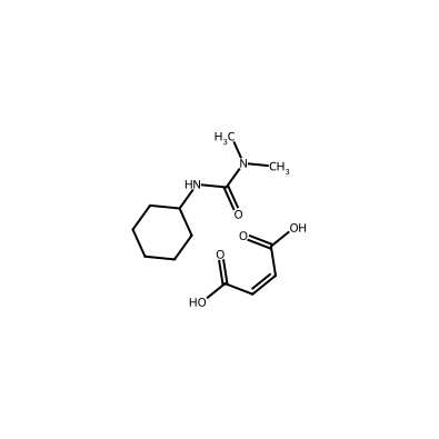 CN(C)C(=O)NC1CCCCC1.O=C(O)/C=C\C(=O)O